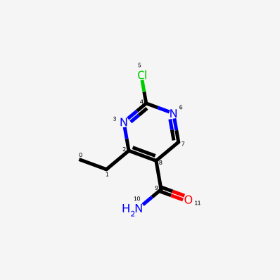 CCc1nc(Cl)ncc1C(N)=O